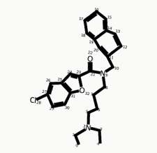 CCN(CC)CCCCN(Cc1ccc2ccccc2c1)C(=O)c1cc2cc(Cl)ccc2o1